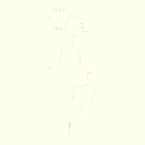 CCc1nc2ccccc2n1-c1nc(N)cc(Nc2ccc(OC(F)F)c(F)c2)n1